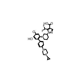 Cl.O=C(O)c1cnn(C2CCCN(c3cc(Cl)ccc3-c3ccc(N4CCN(C5CC5)CC4)cc3)C2)c1C(F)F